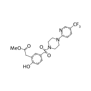 COC(=O)Cc1cc(S(=O)(=O)N2CCN(c3ccc(C(F)(F)F)cn3)CC2)ccc1O